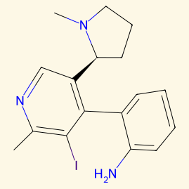 Cc1ncc([C@@H]2CCCN2C)c(-c2ccccc2N)c1I